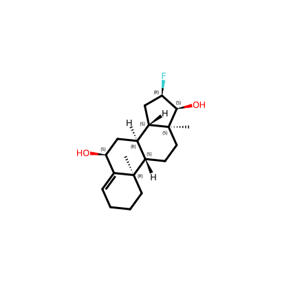 C[C@]12CC[C@H]3[C@@H](C[C@H](O)C4=CCCC[C@@]43C)[C@@H]1C[C@@H](F)[C@H]2O